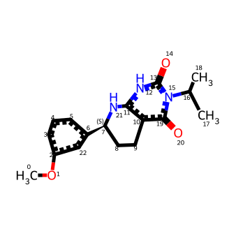 COc1cccc([C@@H]2CCc3c([nH]c(=O)n(C(C)C)c3=O)N2)c1